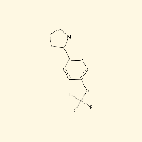 FC(F)(F)Oc1ccc(C2CCC[N]2)cc1